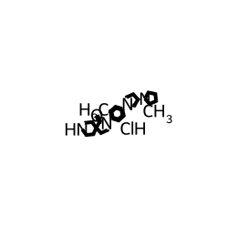 Cc1cc(N2CC[C@H](N3CCC[C@H]3C)C2)ccc1N1CCC2(CCNCC2)C1=O.Cl